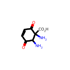 NC1C(=O)C=CC(=O)C1(N)C(=O)O